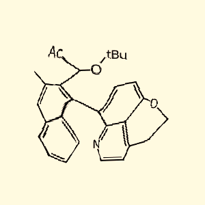 CC(=O)C(OC(C)(C)C)c1c(C)cc2ccccc2c1-c1ccc2c3c(ccnc13)CCO2